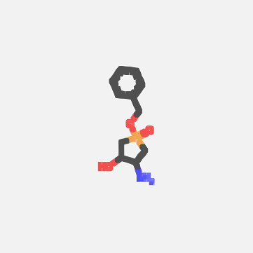 NC1CP(=O)(OCc2ccccc2)CC1O